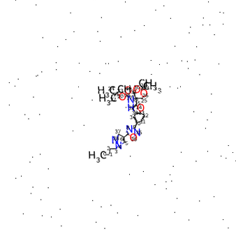 CCCCn1cc(-c2nc(-c3ccc4oc(C5(NC(=O)OC(C)(C)C)COC(C)(C)OC5)cc4c3)no2)cn1